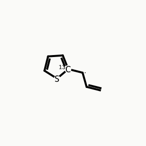 C=C[CH][13c]1cccs1